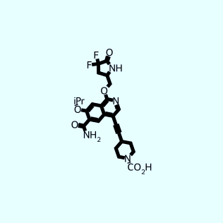 CC(C)Oc1cc2c(OCC3CC(F)(F)C(=O)N3)ncc(C#CC3CCN(C(=O)O)CC3)c2cc1C(N)=O